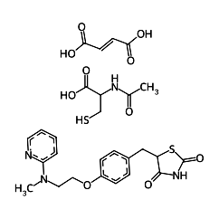 CC(=O)NC(CS)C(=O)O.CN(CCOc1ccc(CC2SC(=O)NC2=O)cc1)c1ccccn1.O=C(O)C=CC(=O)O